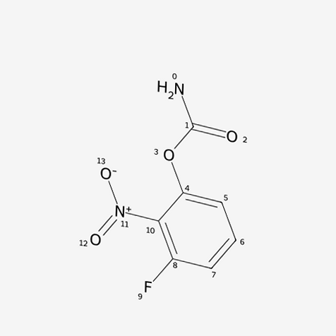 NC(=O)Oc1cccc(F)c1[N+](=O)[O-]